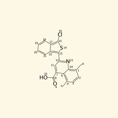 Cc1ccc(C)c2c(C(=O)O)cc(-c3sc(Cl)c4ccccc34)nc12